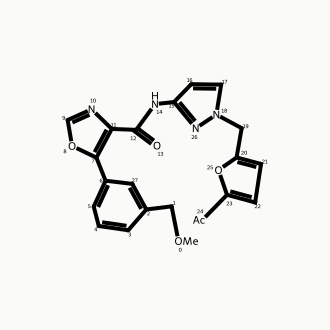 COCc1cccc(-c2ocnc2C(=O)Nc2ccn(Cc3ccc(C(C)=O)o3)n2)c1